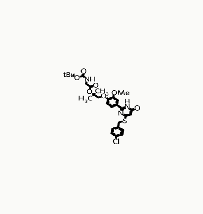 COc1cc(-c2nc(SCc3ccc(Cl)cc3)cc(=O)[nH]2)ccc1OCC(C)(C)OC(=O)CNC(=O)OC(C)(C)C